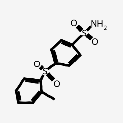 Cc1ccccc1S(=O)(=O)c1ccc(S(N)(=O)=O)cc1